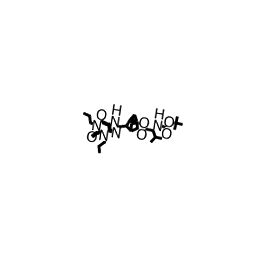 CCCn1c(=O)c2[nH]c(C3C4CC5C(C4OC(=O)C(NC(=O)OC(C)(C)C)C(C)C)C53)nc2n(CCC)c1=O